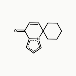 O=C1C=CC2(CCCCC2)n2cccc21